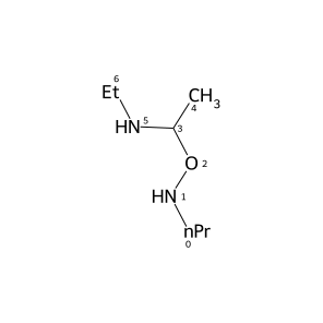 CCCNOC(C)NCC